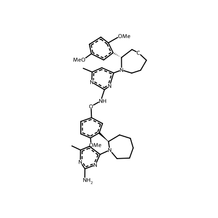 COc1ccc(OC)c([C@@H]2CCCCCN2c2cc(C)nc(NOc3ccc(OC)c([C@H]4CCCCCN4c4cc(C)nc(N)n4)c3)n2)c1